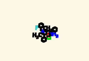 Cc1c(CC(N)c2ccccc2)c(=O)c(-c2ccccc2Cl)c(C)n1Cc1ccccc1F